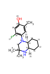 Cc1cc(N2CC(C)(C)N[C@@H]3CCCC[C@@H]32)c(F)cc1O